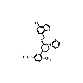 Cc1ccc(S(=O)(=O)O)cc1C1CCNC(OCc2ccc(Cl)c3ccoc23)C1.c1ccncc1